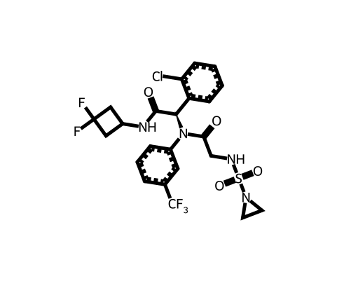 O=C(NC1CC(F)(F)C1)[C@@H](c1ccccc1Cl)N(C(=O)CNS(=O)(=O)N1CC1)c1cccc(C(F)(F)F)c1